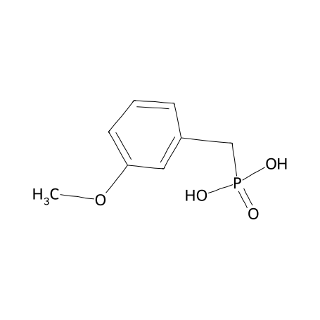 COc1cccc(CP(=O)(O)O)c1